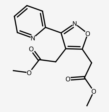 COC(=O)Cc1onc(-c2ccccn2)c1CC(=O)OC